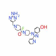 Nc1ncc(CN2CCC(F)(C(=O)N3CCC(n4c(-c5ccccn5)nc5cc(O)ccc54)CC3)CC2)cn1